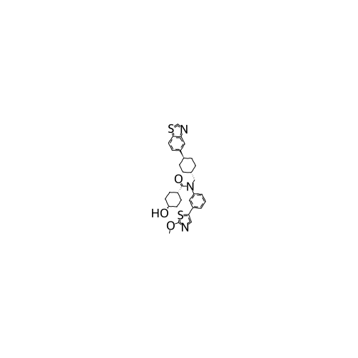 COc1ncc(-c2cccc(N(C[C@H]3CC[C@H](c4ccc5scnc5c4)CC3)C(=O)[C@H]3CC[C@H](O)CC3)c2)s1